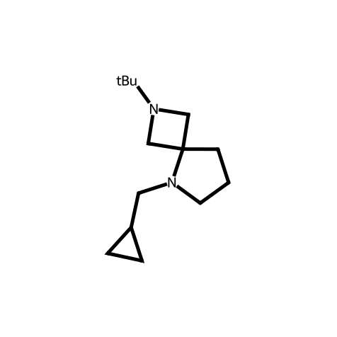 CC(C)(C)N1CC2(CCCN2CC2CC2)C1